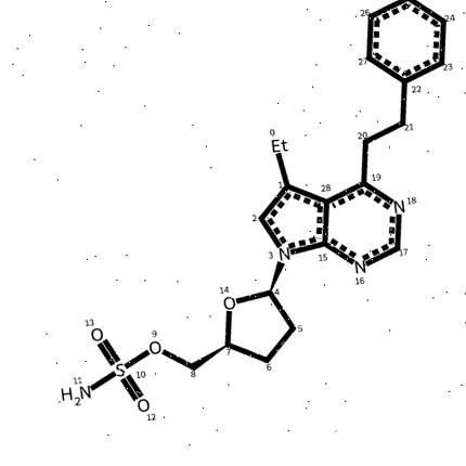 CCc1cn([C@H]2CC[C@@H](COS(N)(=O)=O)O2)c2ncnc(CCc3ccccc3)c12